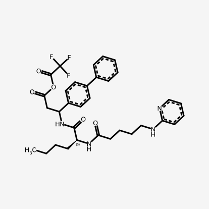 CCCC[C@H](NC(=O)CCCCNc1ccccn1)C(=O)NC(CC(=O)OC(=O)C(F)(F)F)c1ccc(-c2ccccc2)cc1